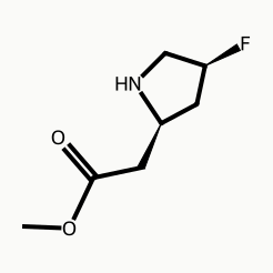 COC(=O)C[C@@H]1C[C@H](F)CN1